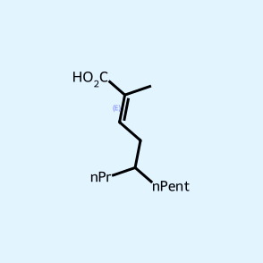 CCCCCC(C/C=C(\C)C(=O)O)CCC